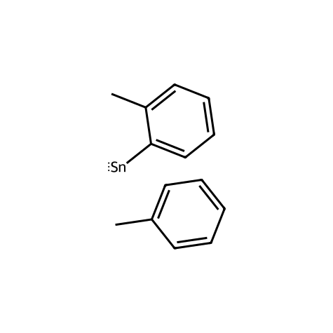 Cc1cccc[c]1[Sn].Cc1ccccc1